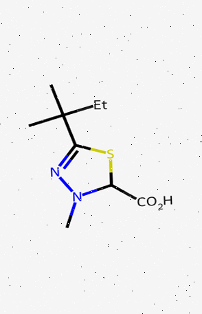 CCC(C)(C)C1=NN(C)C(C(=O)O)S1